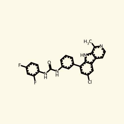 Cc1nccc2c1[nH]c1c(-c3cccc(NC(=O)Nc4ccc(F)cc4F)c3)cc(Cl)cc12